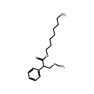 CCCCCCCCOC(=O)C(COC)c1ccccc1